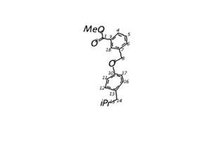 COC(=O)c1cccc(COc2ccc(CC(C)C)cc2)c1